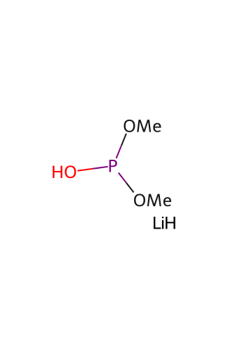 COP(O)OC.[LiH]